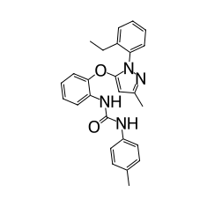 CCc1ccccc1-n1nc(C)cc1Oc1ccccc1NC(=O)Nc1ccc(C)cc1